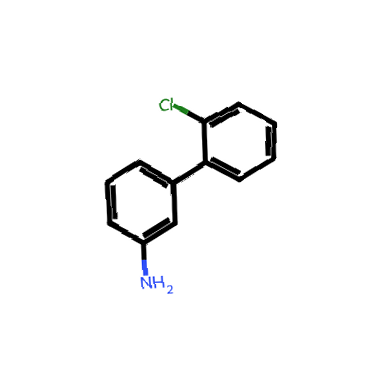 Nc1cccc(-c2ccccc2Cl)c1